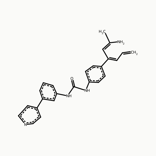 C=C/C=C(\C=C(\C)N)c1ccc(NC(=O)Nc2cccc(-c3ccncc3)c2)cc1